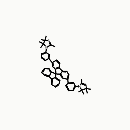 CC1=NC(C)(C)C(C)(C)N1c1cccc(-c2ccc3c(c2)C2(c4ccccc4-c4ccccc42)c2cc(-c4cccc(N5C(C)=NC(C)(C)C5(C)C)c4)ccc2-3)c1